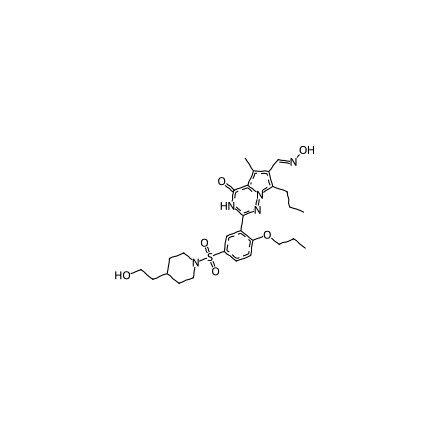 CCCOc1ccc(S(=O)(=O)N2CCC(CCO)CC2)cc1-c1nn2c(CCC)c(C=NO)c(C)c2c(=O)[nH]1